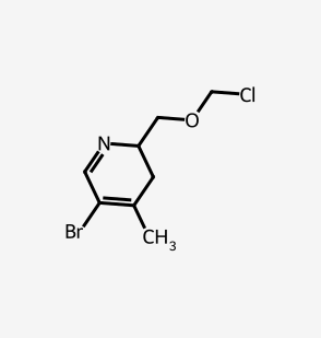 CC1=C(Br)C=NC(COCCl)C1